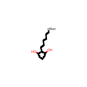 CCCCCCCCCC=CC=CC=Cc1c(O)cccc1O